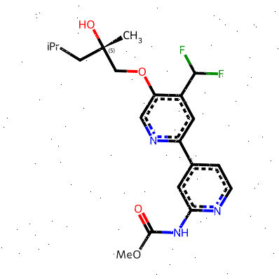 COC(=O)Nc1cc(-c2cc(C(F)F)c(OC[C@@](C)(O)CC(C)C)cn2)ccn1